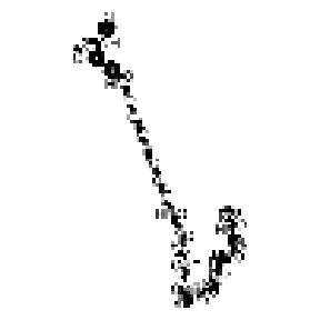 CC(=O)N1c2ccc(-c3ccc(C(=O)NCCOCCOCCOCCOCCOCCOCCOCCNC(=O)CCNC(=O)c4nc(NC(=O)CCNC(=O)c5c(NC(=O)c6nc(NC(=O)CCNC(=O)c7cc(NC(=O)c8nccn8C)cn7C)cn6C)ccn5C)cn4C)cc3)cc2[C@H](Nc2ccc(Cl)cc2)C[C@@H]1C